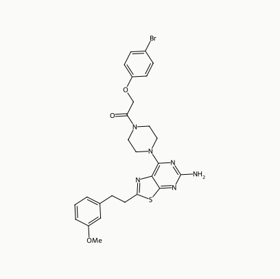 COc1cccc(CCc2nc3c(N4CCN(C(=O)COc5ccc(Br)cc5)CC4)nc(N)nc3s2)c1